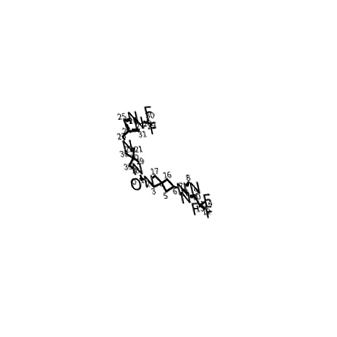 O=C(N1CC2(CC(n3cnc(C(F)(F)F)n3)C2)C1)N1CC2(CN(Cc3cnn(C(F)F)c3)C2)C1